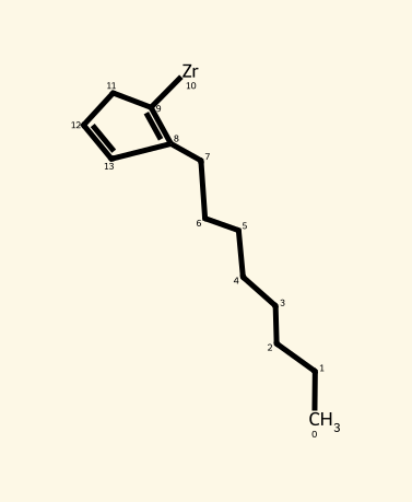 CCCCCCCCC1=[C]([Zr])CC=C1